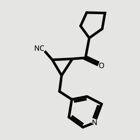 N#CC1C(Cc2ccncc2)C1C(=O)C1CCCC1